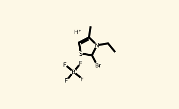 CCN1C(C)=CSC1Br.F[B-](F)(F)F.[H+]